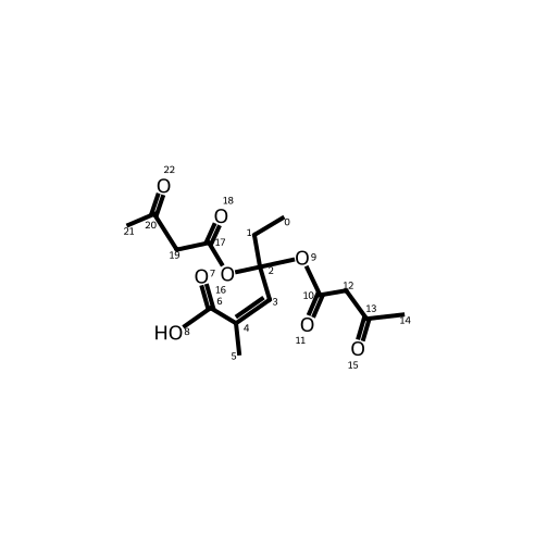 CCC(C=C(C)C(=O)O)(OC(=O)CC(C)=O)OC(=O)CC(C)=O